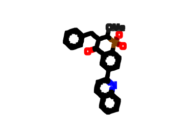 COC1C(Cc2ccccc2)C(=O)c2cc(-c3ccc4ccccc4n3)ccc2S1(=O)=O